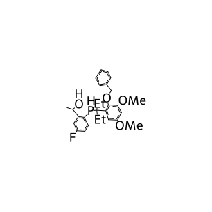 CCC(CC)(Pc1ccc(F)cc1C(C)O)c1cc(OC)cc(OC)c1OCc1ccccc1